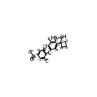 [2H]C1Nc2c(C)cc(Oc3c(Cl)cc([N+](=O)[O-])cc3Cl)cc2C12CCC2